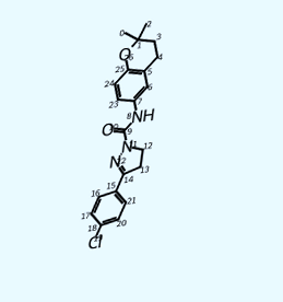 CC1(C)CCc2cc(NC(=O)N3CCC(c4ccc(Cl)cc4)=N3)ccc2O1